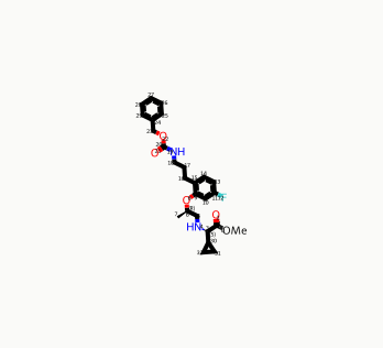 COC(=O)[C@@H](NC[C@@H](C)Oc1cc(F)ccc1CCCNC(=O)OCc1ccccc1)C1CC1